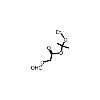 CCOC(C)(C)OC(=O)COC=O